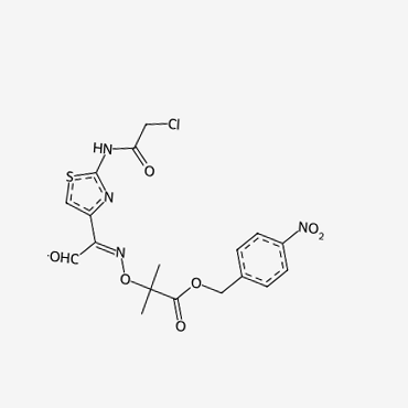 CC(C)(O/N=C(\[C]=O)c1csc(NC(=O)CCl)n1)C(=O)OCc1ccc([N+](=O)[O-])cc1